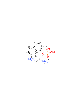 NCCN.O=P(O)(O)Oc1cccc2ccccc12